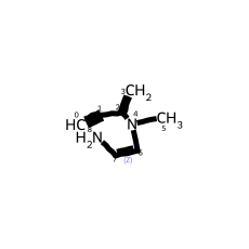 C#CC(=C)N(C)/C=C\N